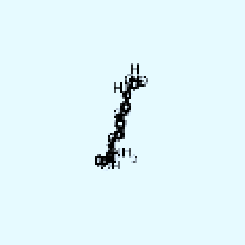 Nc1nnc(-c2ccccc2O)cc1N1CC(Oc2cccc(N3CCN(C(=O)CN4CCC(c5ccc(NC6CCC(=O)NC6=O)cc5)CC4)CC3)c2)C1